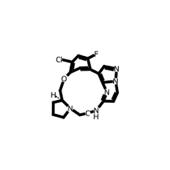 Fc1cc(Cl)c2cc1-c1cnn3ccc(nc13)NCCN1CCC[C@H]1CO2